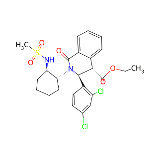 CCOC(=O)[C@H]1c2ccccc2C(=O)N([C@@H]2CCCC[C@H]2NS(C)(=O)=O)[C@@H]1c1ccc(Cl)cc1Cl